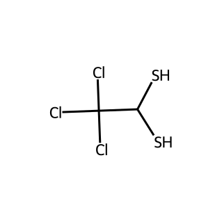 SC(S)C(Cl)(Cl)Cl